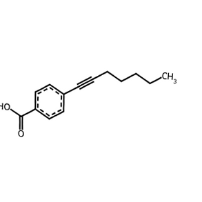 CCCCCC#Cc1ccc(C(=O)O)cc1